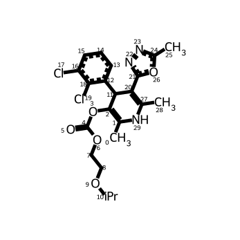 CC1=C(OC(=O)OCCOC(C)C)C(c2cccc(Cl)c2Cl)C(c2nnc(C)o2)=C(C)N1